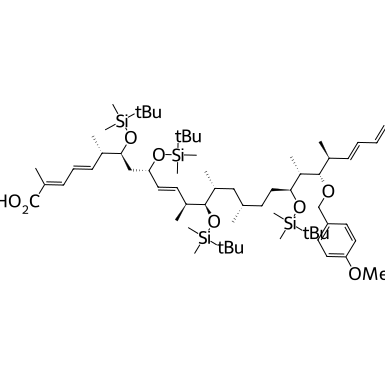 C=CC=C[C@H](C)[C@H](OCc1ccc(OC)cc1)[C@@H](C)[C@H](CC[C@H](C)C[C@@H](C)[C@@H](O[Si](C)(C)C(C)(C)C)[C@@H](C)C=C[C@H](C[C@H](O[Si](C)(C)C(C)(C)C)[C@@H](C)C=CC=C(C)C(=O)O)O[Si](C)(C)C(C)(C)C)O[Si](C)(C)C(C)(C)C